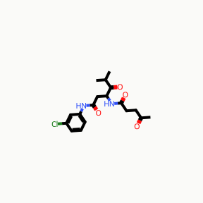 CC(=O)CCC(=O)NC(CC(=O)Nc1cccc(Cl)c1)C(=O)C(C)C